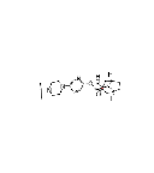 CC(C)(C)N1CCN(c2ccc(OC[C@H]3C[C@H]4CC[C@@H](C3)N4C(=O)O)nc2)CC1